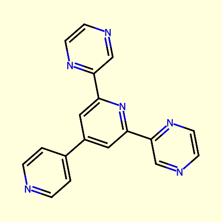 c1cc(-c2cc(-c3cnccn3)nc(-c3cnccn3)c2)ccn1